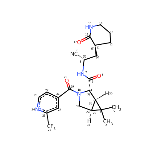 CC1(C)[C@@H]2[C@@H](C(=O)N[C@H](C#N)C[C@@H]3CCCNC3=O)N(C(=O)c3ccnc(C(F)(F)F)c3)C[C@@H]21